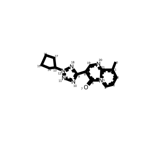 Cc1cccn2c(=O)c(-c3nnn(C4CCCC4)n3)cnc12